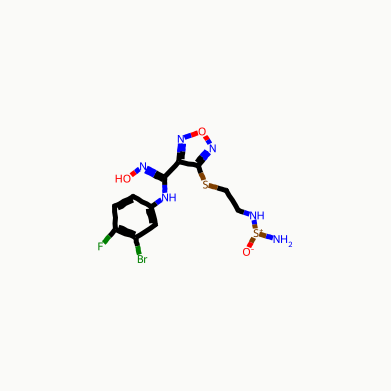 N[S+]([O-])NCCSc1nonc1/C(=N/O)Nc1ccc(F)c(Br)c1